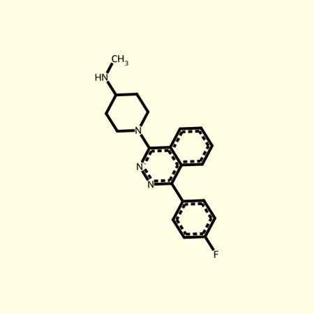 CNC1CCN(c2nnc(-c3ccc(F)cc3)c3ccccc23)CC1